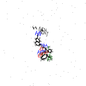 CC(C)(C)CNCc1ccc2c(c1)CCC[C@H]2NC(=O)CC(NS(=O)(=O)c1cccc(C(F)(F)F)c1)c1ccccc1F